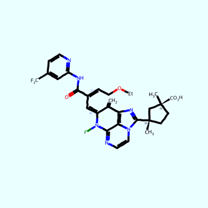 C=C1/C(=C\C(=C/COCC)C(=O)Nc2cc(C(F)(F)F)ccn2)N(F)c2nccn3c([C@@]4(C)CC[C@](C)(C(=O)O)C4)nc1c23